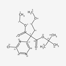 CCOC(=O)C(CCOC)(C(=O)OC(C)(C)C)c1cncc(Cl)n1